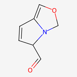 O=CC1C=CC2=COCN21